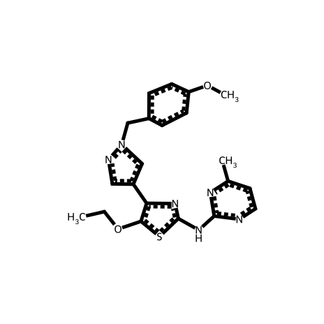 CCOc1sc(Nc2nccc(C)n2)nc1-c1cnn(Cc2ccc(OC)cc2)c1